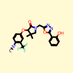 [C-]#[N+]c1ccc(OC2C(=O)N(Cc3nnc(-c4ccccc4O)o3)CC2(C)C)cc1C(F)(F)F